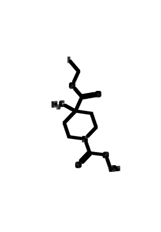 CC(C)(C)OC(=O)N1CCC(C)(C(=O)OCI)CC1